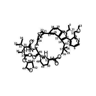 CCn1c(-c2cccnc2[C@H](C)OC)c2c3cc(ccc31)-c1csc(n1)C[C@H](NC(=O)[C@H](C(C)C)N(C)C(=O)O[C@H]1CCOC1)C(=O)N1CCC[C@H](N1)C(=O)OCC(C)(C)C2